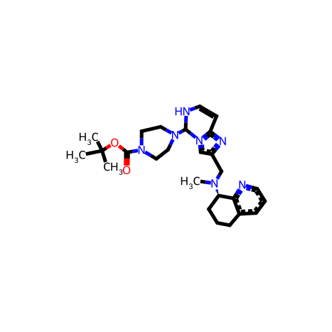 CN(Cc1cn2c(n1)C=CNC2N1CCN(C(=O)OC(C)(C)C)CC1)[C@H]1CCCc2cccnc21